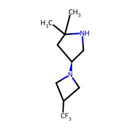 CC1(C)C[C@H](N2CC(C(F)(F)F)C2)CN1